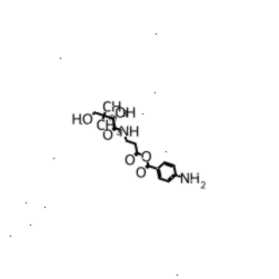 CC(C)(CO)[C@@H](O)C(=O)NCCC(=O)OC(=O)c1ccc(N)cc1